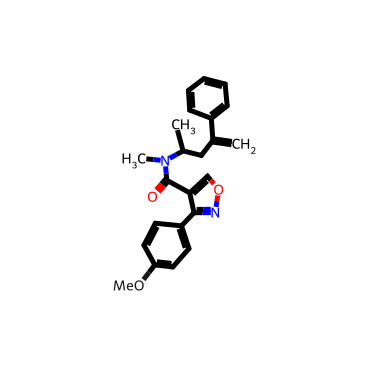 C=C(CC(C)N(C)C(=O)c1conc1-c1ccc(OC)cc1)c1ccccc1